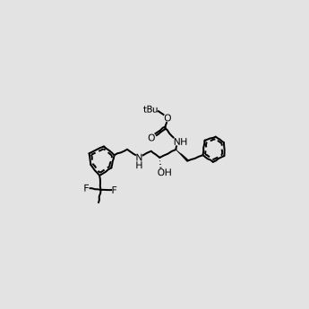 CC(C)(C)OC(=O)N[C@@H](Cc1ccccc1)[C@H](O)CNCc1cccc(C(C)(F)F)c1